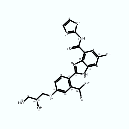 O=C(Nc1nccs1)c1cc(F)cc2[nH]c(-c3ccc(OC[C@@H](O)CO)cc3C(F)F)nc12